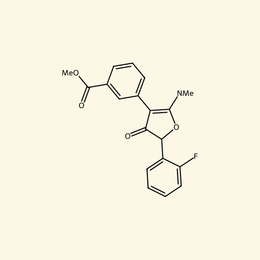 CNC1=C(c2cccc(C(=O)OC)c2)C(=O)C(c2ccccc2F)O1